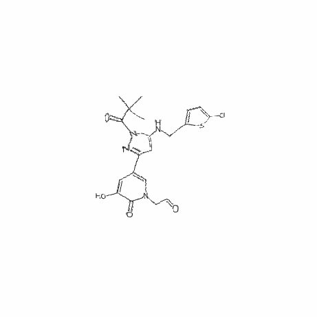 CC(C)(C)C(=O)n1nc(-c2cc(O)c(=O)n(CC=O)c2)cc1NCc1ccc(Cl)s1